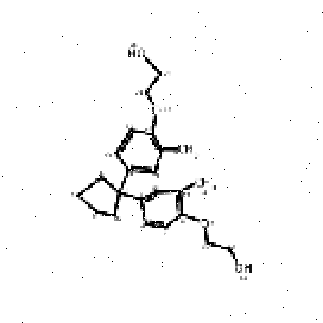 Cc1cc(C2(c3ccc(OCCO)c(C)c3)CCCC2)ccc1OCCO